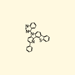 c1ccc(-c2ccc3c(n2)c2c4sc5ccccc5c4ccc2n3-c2ncnc3ccccc23)cc1